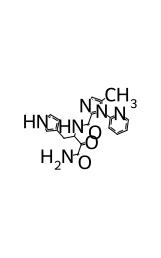 Cc1cnc(C(=O)NC(Cc2cc[nH]c2)C(=O)C(N)=O)n1-c1ccccn1